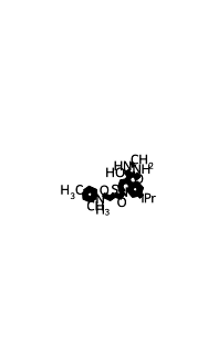 C=C1NC(=O)C(C(CC2=NC(=O)C(CC(=O)Nc3ccc(C)cc3C)S2)c2ccc(C(C)C)cc2)=C(O)N1